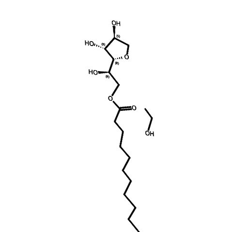 CCCCCCCCCCCC(=O)OC[C@@H](O)[C@H]1OC[C@H](O)[C@H]1O.CCO